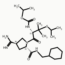 CC(C)OC(=O)N[C@@H](C(=O)N1C[C@H](C(=N)N)C[C@H]1C(=O)NCC1CCCCC1)C(C)(C)SC(C)C